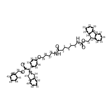 O=C(CCCCCNC(=O)OCC1c2ccccc2-c2ccccc21)NCCCCOc1ccc([C@@H](C(=O)OCc2ccccc2)N2Cc3ccccc3C2)cc1